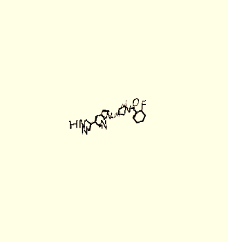 C[C@H]1C[C@@H](Cn2ccc3cc(C4C=NNC4)cnc32)CN1C(=O)C1=CCCCC1F